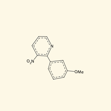 COc1cccc(-c2ncccc2[N+](=O)[O-])c1